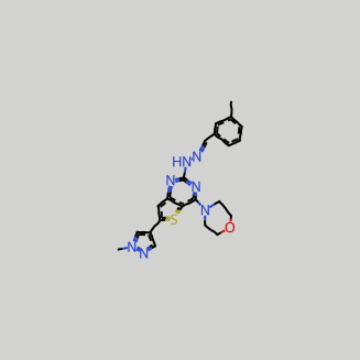 Cc1cccc(/C=N/Nc2nc(N3CCOCC3)c3sc(-c4cnn(C)c4)cc3n2)c1